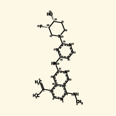 C=C(C)c1cnc(NC)c2cnc(Nc3ccnc(N4CC[C@@H](O)[C@@H](F)C4)n3)cc12